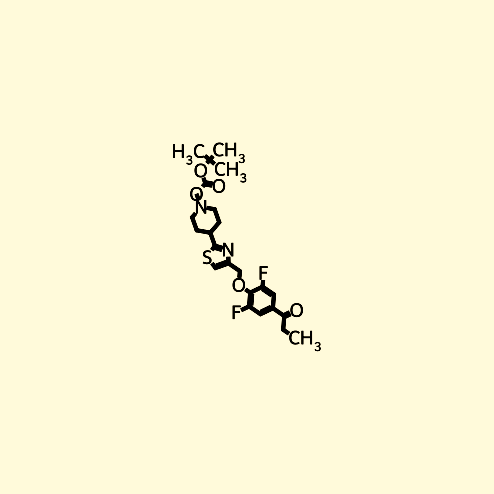 CCC(=O)c1cc(F)c(OCc2csc(C3CCN(OC(=O)OC(C)(C)C)CC3)n2)c(F)c1